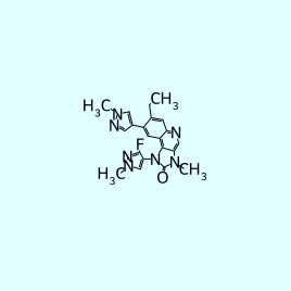 CCc1cc2ncc3c(c2cc1-c1cnn(C)c1)n(-c1cn(C)nc1F)c(=O)n3C